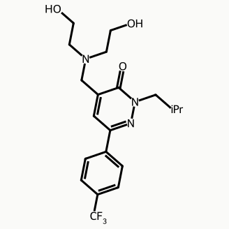 CC(C)Cn1nc(-c2ccc(C(F)(F)F)cc2)cc(CN(CCO)CCO)c1=O